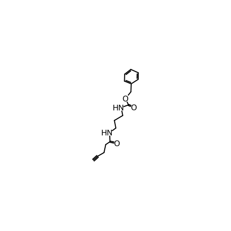 C#CCCC(=O)NCCCNC(=O)OCc1ccccc1